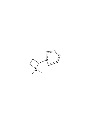 C[Si]1(C)CCC1c1ccccc1